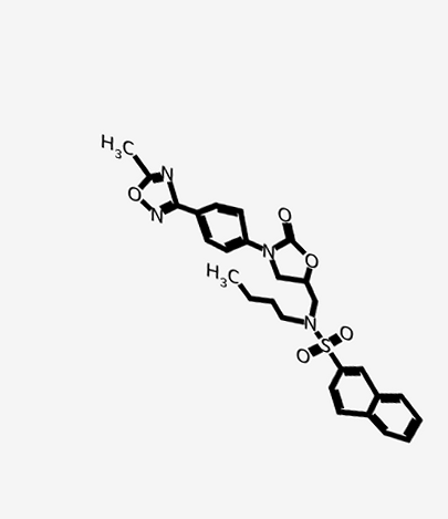 CCCCN(CC1CN(c2ccc(-c3noc(C)n3)cc2)C(=O)O1)S(=O)(=O)c1ccc2ccccc2c1